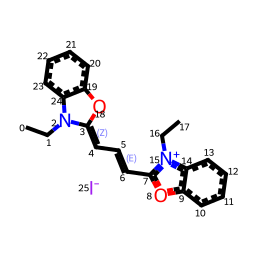 CCN1/C(=C/C=C/c2oc3ccccc3[n+]2CC)Oc2ccccc21.[I-]